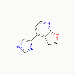 [c]1nc(-c2ccnc3occc23)c[nH]1